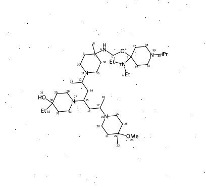 CCN(CC)C1(OCNC2(C)CCN(C(C)CC(CC(C)N3CCC(C)(OC)CC3)N3CCC(O)(CC)CC3)CC2)CCN(C(C)C)CC1